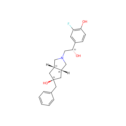 Oc1ccc([C@H](O)CN2C[C@@H]3C[C@](O)(Cc4ccccc4)C[C@@H]3C2)cc1F